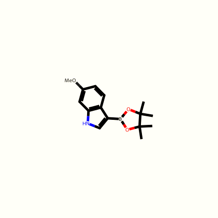 COc1ccc2c(B3OC(C)(C)C(C)(C)O3)c[nH]c2c1